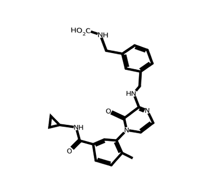 Cc1ccc(C(=O)NC2CC2)cc1-n1ccnc(NCc2cccc(CNC(=O)O)c2)c1=O